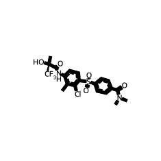 Cc1c(NC(=O)[C@@](C)(O)C(F)(F)F)ccc(S(=O)(=O)c2ccc(C(=O)N(C)C)cc2)c1Cl